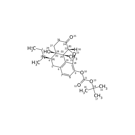 CCN(C)[C@@H]1Cc2ccc(OC(=O)OC(C)(C)C)c3c2[C@@]2(C)[C@@H](O3)C(=O)CC[C@@]12O